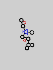 C1=CC(c2nc(-c3ccc4c(c3)oc3ccccc34)nc(-c3cccc4oc5c(-c6cc7ccccc7c7ccccc67)cccc5c34)n2)=CCC1